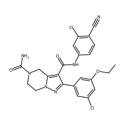 CCOc1cc(Cl)cc(-c2nn3c(c2C(=O)Nc2ccc(C#N)c(Cl)c2)CN(C(N)=O)CC3)c1